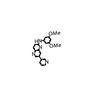 COc1cc(Nc2ccc3ncc(-c4cccnc4)cc3n2)cc(OC)c1